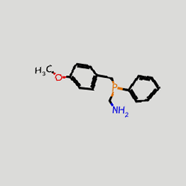 COc1ccc(CP(CN)c2ccccc2)cc1